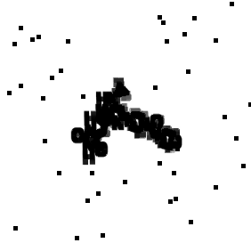 O=C1NC(=O)/C(=C/c2cnn3c(NC4CC4)cc(N4CCN(C(=O)CN5CCOCC5)CC4)nc23)N1